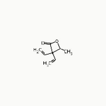 C=CC1(C=C)C(=O)OC1C